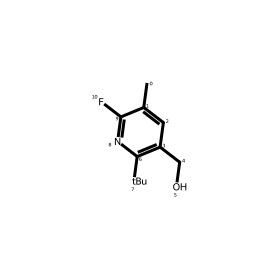 Cc1cc(CO)c(C(C)(C)C)nc1F